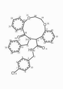 O=C(NCc1ccc(Cl)cc1)C1c2ccccc2OCCOc2ccccc2C(=O)N1Cc1ccccc1